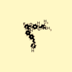 Cc1cc(C(=O)N[C@H]2CC[C@@H](NC(=O)c3cc(F)cnc3Oc3cccc(-c4ccc(CCCN5CCNCC5)cc4)c3)CC2)nn1C